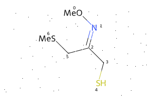 CO/N=C(/CS)CSC